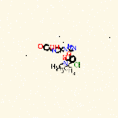 CCN(C(=O)c1cc(Cl)ccc1Oc1cncnc1N1CC2(CCN(CC3(O)CCC(=O)CC3)CC2)C1)C(C)C